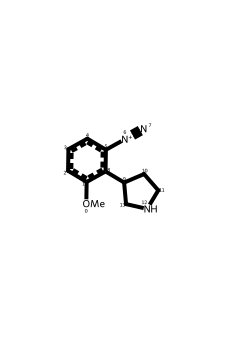 COc1cccc([N+]#N)c1C1CCNC1